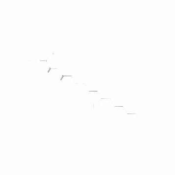 CC(O)C(=O)OC(=O)CCCCCC(O)CCCCCO